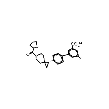 O=C(O)c1cc(F)cc(-c2ccc([C@@H]3CC34CCN(C(=O)C3CCCO3)CC4)cc2)c1